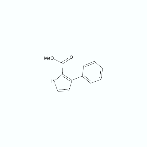 COC(=O)c1[nH]ccc1-c1ccccc1